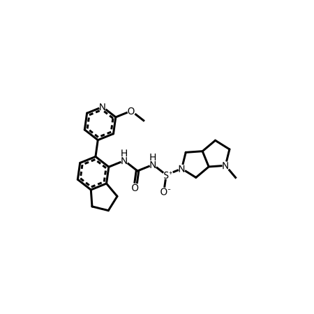 COc1cc(-c2ccc3c(c2NC(=O)N[S+]([O-])N2CC4CCN(C)C4C2)CCC3)ccn1